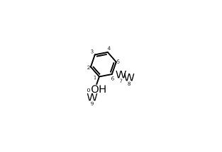 Oc1ccccc1.[W].[W].[W]